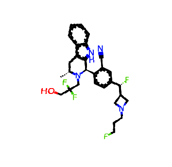 C[C@@H]1Cc2c([nH]c3ccccc23)[C@@H](c2ccc([C@H](F)C3CN(CCCF)C3)cc2C#N)N1CC(F)(F)CO